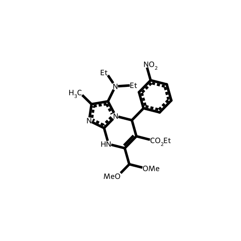 CCOC(=O)C1=C(C(OC)OC)Nc2nc(C)c(N(CC)CC)n2C1c1cccc([N+](=O)[O-])c1